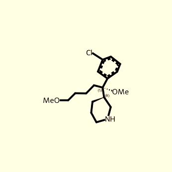 COCCCC[C@@](OC)(c1cccc(Cl)c1)[C@@H]1CCCNC1